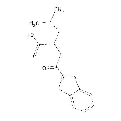 CC(C)CC(CC(=O)N1Cc2ccccc2C1)C(=O)O